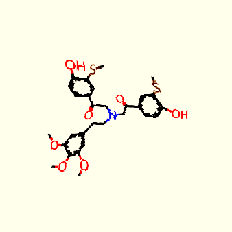 COc1cc(CCN(CC(=O)c2ccc(O)c(SC)c2)CC(=O)c2ccc(O)c(SC)c2)cc(OC)c1OC